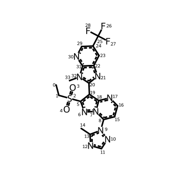 CCS(=O)(=O)c1nn2c(-n3ncnc3C)ccnc2c1-c1nc2cc(C(F)(F)F)cnc2n1C